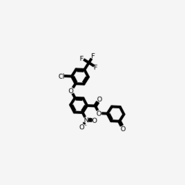 O=C1C=C(OC(=O)c2cc(Oc3ccc(C(F)(F)F)cc3Cl)ccc2[N+](=O)[O-])CCC1